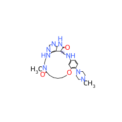 CN1CCN(c2ccc3cc2OCCCCCC(=O)N(C)CCNc2ncnc4c2/C(=C/N3)C(=O)N4)CC1